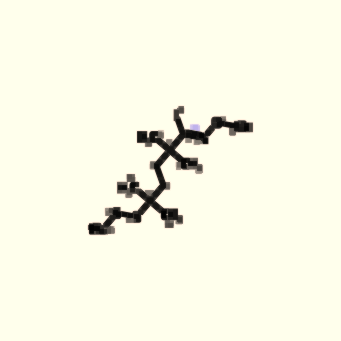 CC(C)(C)O/N=C(\I)C(C)(C)CCC(C)(C)SSC(C)(C)C